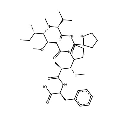 CC[C@H](C)[C@@H]([C@@H](CC(=O)N1CCCC1[C@H](OC)[C@H](C)C(=O)N[C@@H](Cc1ccccc1)C(=O)O)OC)N(C)[C@H](C(=O)NC(=O)[C@]1(C)CCCN1)C(C)C